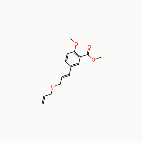 C=CCOC/C=C/c1ccc(OC)c(C(=O)OC)c1